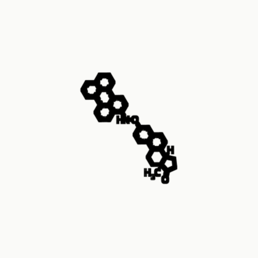 C[C@]12CCc3c(ccc4cc(ONc5ccc6c7cccc8cccc(c9cccc5c96)c87)ccc34)[C@@H]1CCC2=O